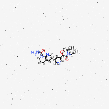 CCN(CC)C(=O)C(OC)c1cncc(-c2cnc3c(c2)CCCN3C(N)=O)c1